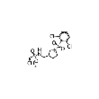 C=CS(=O)(=O)NCC1CCN(S(=O)(=O)c2c(Cl)cccc2Cl)C1